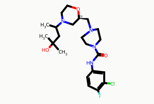 CC(CC(C)(C)O)N1CCO[C@@H](CN2CCN(C(=O)Nc3ccc(F)c(Cl)c3)CC2)C1